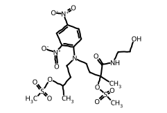 CC(CCN(CCC(C)(OS(C)(=O)=O)C(=O)NCCO)c1ccc([N+](=O)[O-])cc1[N+](=O)[O-])OS(C)(=O)=O